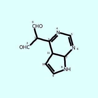 O=CC(C=O)C1=NC=NC2NC=CC12